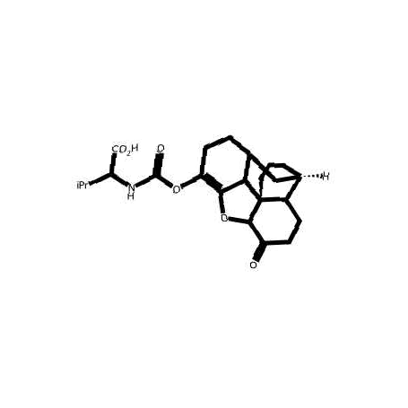 CC(C)C(NC(=O)OC1=C2OC3C(=O)CCC4[C@@H]5CCC[C@]34C2C(CC1)C5)C(=O)O